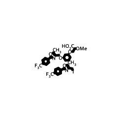 COC(CO[C@@H]1CCC[C@H](OCc2nc(-c3ccc(C(F)(F)F)cc3)oc2C)C1)C(=O)O.Cc1oc(-c2ccc(C(F)(F)F)cc2)nc1CI